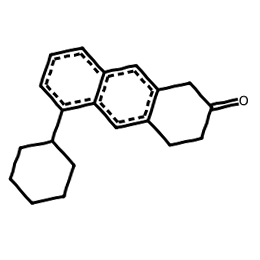 O=C1CCc2cc3c(C4CCCCC4)cccc3cc2C1